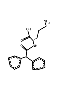 NCCC[C@H](NC(=O)C(c1ccccc1)c1ccccc1)C(=O)O